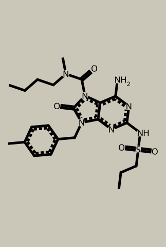 CCCCN(C)C(=O)n1c(=O)n(Cc2ccc(C)cc2)c2nc(NS(=O)(=O)CCC)nc(N)c21